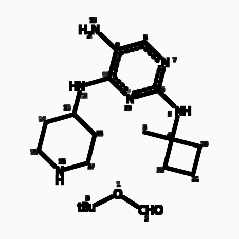 CC(C)(C)OC=O.CC1(Nc2ncc(N)c(NC3CCNCC3)n2)CCC1